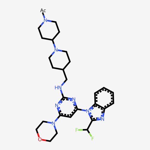 CC(=O)N1CCC(N2CCC(CNc3nc(N4CCOCC4)cc(-n4c(C(F)F)nc5ccccc54)n3)CC2)CC1